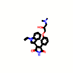 C=Cn1cc(C2=C(c3cccc(OCC(O)CN(C)C)c3)C(=O)NC2=O)c2ccccc21